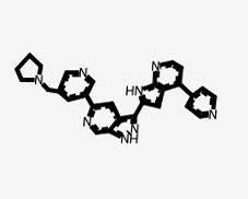 c1cc(-c2ccnc3[nH]c(-c4n[nH]c5cnc(-c6cncc(CN7CCCC7)c6)cc45)cc23)ccn1